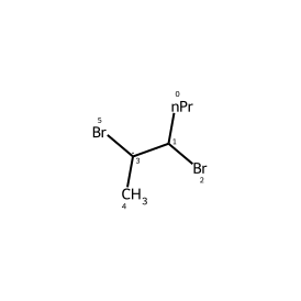 CCCC(Br)[C](C)Br